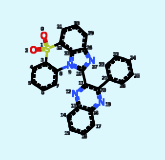 O=S1(=O)c2ccccc2-n2c(-c3nc4ccccc4nc3-c3ccccc3)nc3cccc1c32